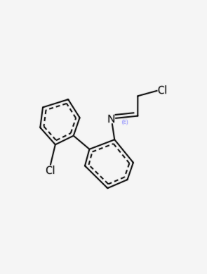 ClC/C=N/c1ccccc1-c1ccccc1Cl